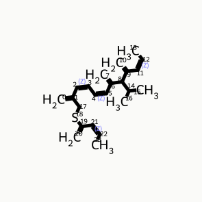 C=C(/C=C\C=C/C(=C)C(C(=C)/C=C\C)C(C)C)CSC(=C)/C=C\C